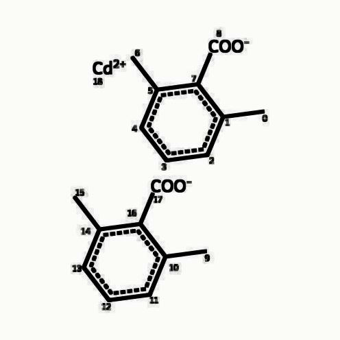 Cc1cccc(C)c1C(=O)[O-].Cc1cccc(C)c1C(=O)[O-].[Cd+2]